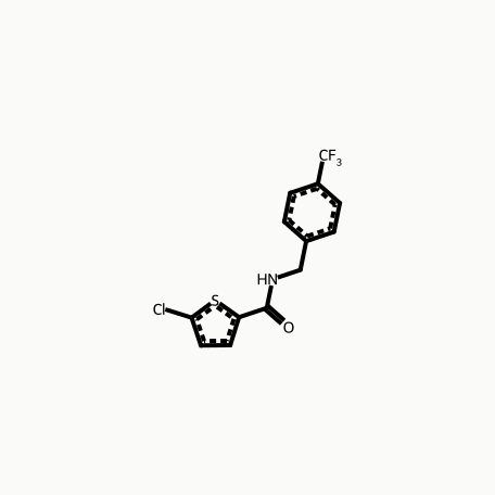 O=C(NCc1ccc(C(F)(F)F)cc1)c1ccc(Cl)s1